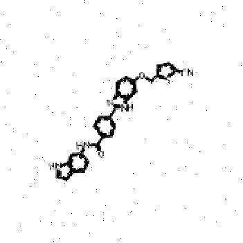 N#Cc1ccc(COc2ccc3nc(-c4ccc(C(=O)Nc5ccc6cc[nH]c6c5)cc4)[nH]c3c2)s1